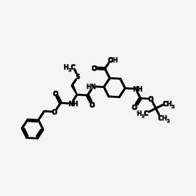 CSC[C@H](NC(=O)OCc1ccccc1)C(=O)NC1CCC(NC(=O)OC(C)(C)C)CC1C(=O)O